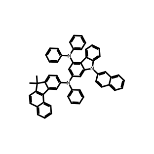 CC1(C)c2ccc(N(c3ccccc3)c3cc(N(c4ccccc4)c4ccccc4)c4c5ccccc5n(-c5ccc6ccccc6c5)c4c3)cc2-c2c1ccc1ccccc21